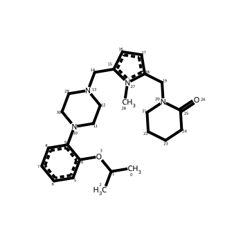 CC(C)Oc1ccccc1N1CCN(Cc2ccc(CN3CCCCC3=O)n2C)CC1